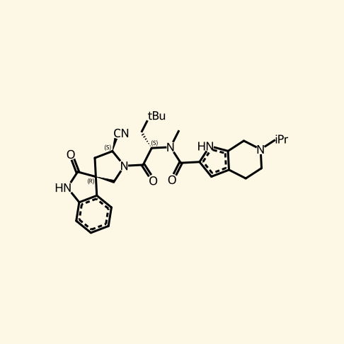 CC(C)N1CCc2cc(C(=O)N(C)[C@@H](CC(C)(C)C)C(=O)N3C[C@]4(C[C@H]3C#N)C(=O)Nc3ccccc34)[nH]c2C1